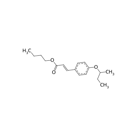 CCCCOC(=O)C=Cc1ccc(OC(C)CC)cc1